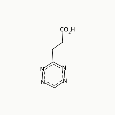 O=C(O)CCc1nncnn1